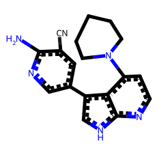 N#Cc1cc(-c2c[nH]c3nccc(N4CCCCC4)c23)cnc1N